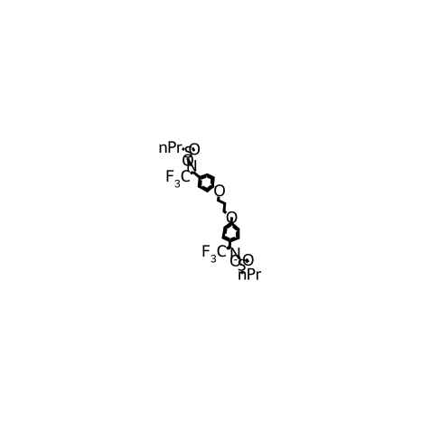 CCCS(=O)O/N=C(/c1ccc(OCCCOc2ccc(/C(=N/OS(=O)CCC)C(F)(F)F)cc2)cc1)C(F)(F)F